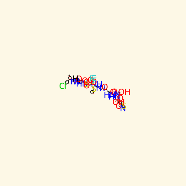 CC1(C)CCC(CN2CCN3c4ccc(C(=O)NS(=O)(=O)c5ccc(N[C@H](CCN6CCN(C(=O)CCCCCC(=O)N[C@H](C(=O)N7C[C@H](O)C[C@H]7NC(=O)C(CO)c7ccc8c(c7)OCc7ncsc7-8)C(C)(C)C)CC6)CSc6ccccc6)c(S(=O)(=O)C(F)(F)F)c5)cc4OC[C@@H]3C2)=C(c2ccc(Cl)cc2)C1